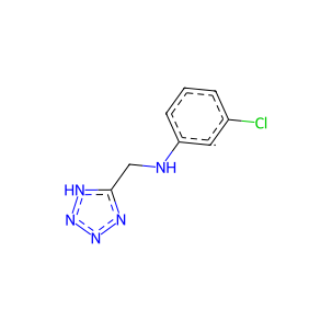 Clc1[c]c(NCc2nnn[nH]2)ccc1